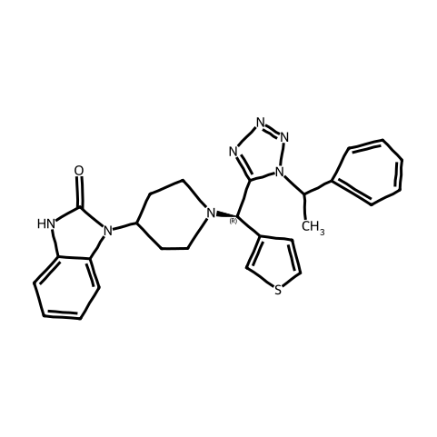 CC(c1ccccc1)n1nnnc1[C@@H](c1ccsc1)N1CCC(n2c(=O)[nH]c3ccccc32)CC1